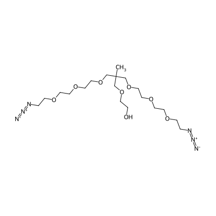 CC(COCCO)(COCCOCCOCCN=[N+]=[N-])COCCOCCOCCN=[N+]=[N-]